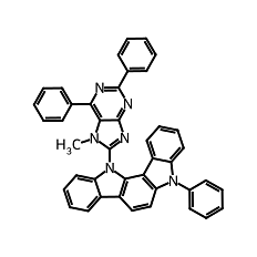 Cn1c(-n2c3ccccc3c3ccc4c(c5ccccc5n4-c4ccccc4)c32)nc2nc(-c3ccccc3)nc(-c3ccccc3)c21